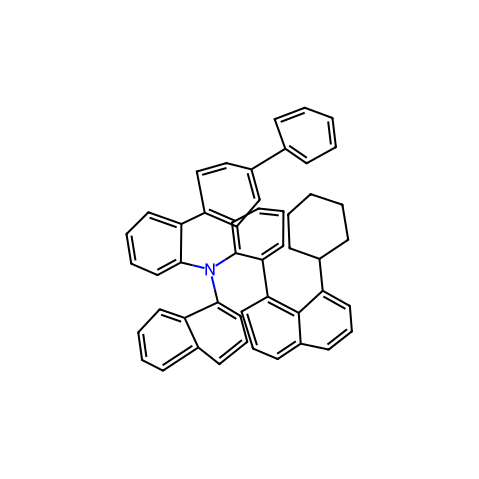 c1ccc(-c2ccc(-c3ccccc3N(c3ccccc3-c3cccc4cccc(C5CCCCC5)c34)c3cccc4ccccc34)cc2)cc1